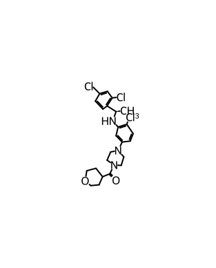 C[C@@H](Nc1cc(N2CCN(C(=O)C3CCOCC3)CC2)ccc1Cl)c1ccc(Cl)cc1Cl